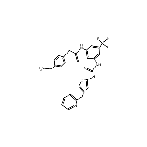 NCc1ccc(CC(=O)Nc2cc(NC(=O)[N-]c3c[n+](Cc4ccccn4)no3)cc(C(F)(F)F)c2)cc1